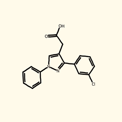 O=C(O)Cc1cn(-c2ccccc2)nc1-c1cccc(Cl)c1